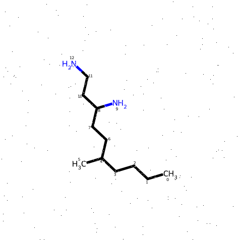 CCCCC(C)CCC(N)CCN